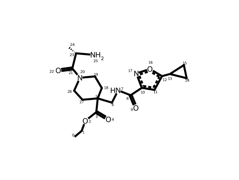 CCOC(=O)C1(CNC(=O)c2cc(C3CC3)on2)CCN(C(=O)[C@H](C)N)CC1